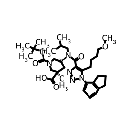 COCCCCc1c(C(=O)N(CC(C)C)[C@@H]2CN(C(=O)OC(C)(C)C)C[C@](C)(C(=O)O)C2)nnn1-c1cccc2c1CCC2